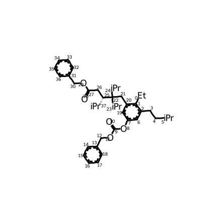 CCc1c(CCC(C)C)cc(OC(=O)OCc2ccccc2)cc1CC(C(C)C)(C(C)C)[C@@H](CC(=O)OCc1ccccc1)C(C)C